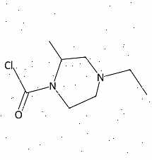 CCN1CCN(C(=O)Cl)C(C)C1